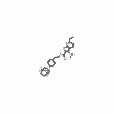 CCc1ccc2c(NC)c(C(=O)NCCc3ccc(N4C[C@H]5CC[C@@H](C4)N5)cc3)sc2n1